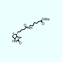 COC(=O)CCCCCNC(=O)CCCC[C@@H]1SCC2NC(=O)N(C)C21